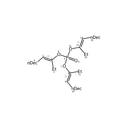 CCCCCCCCCC/C=C(\CC)OP(=O)(O/C(=C/CCCCCCCCCC)CC)O/C(=C/CCCCCCCCCC)CC